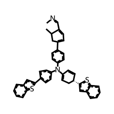 C/N=C\C1=CC=C(c2ccc(N(C3=CC[C@@H](c4cc5ccccc5s4)C=C3)c3ccc(-c4cc5ccccc5s4)cc3)cc2)CC1C